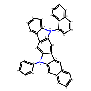 c1ccc(-n2c3cc4ccccc4cc3c3cc4c(cc32)c2ccccc2n4-c2cccc3ccccc23)cc1